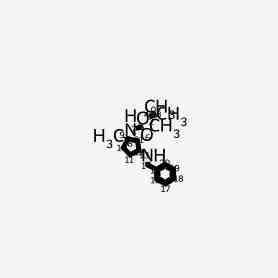 CC(C)(C)OC(=O)N[C@]1(C)CC[C@@H](NCc2ccccc2)C1